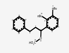 CCCCc1cccc(C(CCc2ccccc2)OC(=O)O)c1CCCC